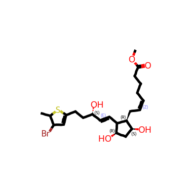 COC(=O)CCC/C=C\C[C@@H]1C(/C=C/[C@@H](O)CCC2=CC(Br)C(C)S2)[C@H](O)C[C@@H]1O